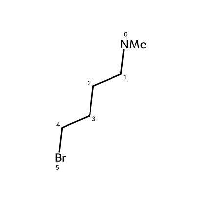 CNCCCCBr